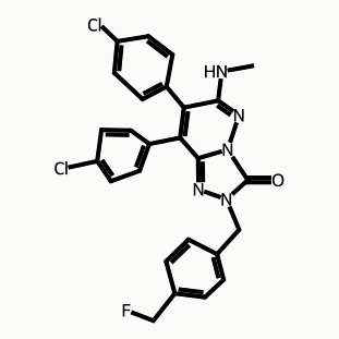 CNc1nn2c(=O)n(Cc3ccc(CF)cc3)nc2c(-c2ccc(Cl)cc2)c1-c1ccc(Cl)cc1